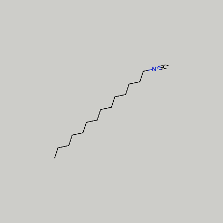 [C-]#[N+]CCCCCCCCCCCCCC